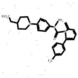 C=C1C=CC=C(c2ccc(C(F)(F)F)cc2)N1C(=O)N(N)c1ccc(N2CCC(CC(=O)OCC)CC2)cc1